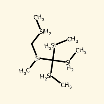 C[SiH2]C[Si](C)C([SiH2]C)([SiH2]C)[SiH2]C